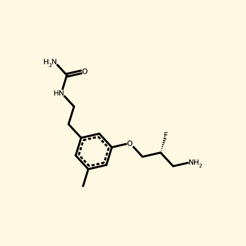 Cc1cc(CCNC(N)=O)cc(OC[C@H](F)CN)c1